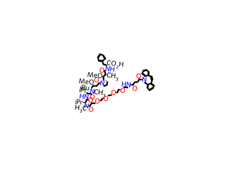 CC[C@H](C)[C@@H]([C@@H](CC(=O)N1CCC[C@H]1[C@H](OC)[C@@H](C)C(=O)N[C@@H](Cc1ccccc1)C(=O)O)OC)N(C)C(=O)C(NC(=O)[C@H](C(C)C)N(C)C(=O)CCOCCOCCOCCOCCNC(=O)CCC(=O)N1Cc2ccccc2C#Cc2ccccc21)C(C)C